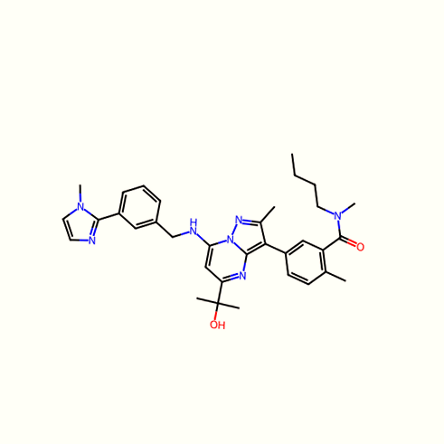 CCCCN(C)C(=O)c1cc(-c2c(C)nn3c(NCc4cccc(-c5nccn5C)c4)cc(C(C)(C)O)nc23)ccc1C